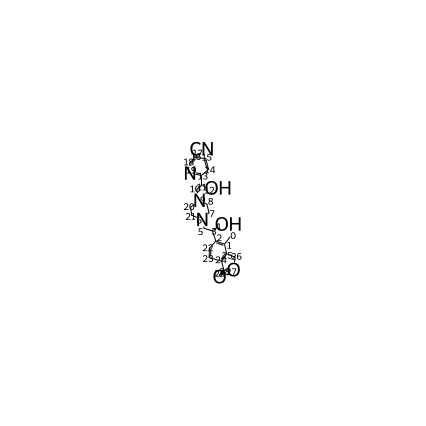 Cc1c([C@H](O)CN2CCN(C[C@H](O)c3ccc(C#N)cn3)CC2)ccc2c1COC2=O